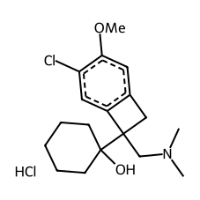 COc1cc2c(cc1Cl)C(CN(C)C)(C1(O)CCCCC1)C2.Cl